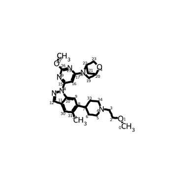 COCCN1CCC(c2cc3c(cnn3-c3cc(N4CC5CC4CO5)nc(OC)n3)cc2C)CC1